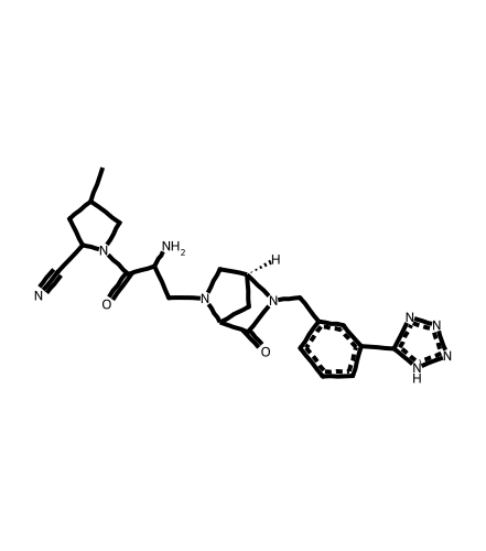 CC1CC(C#N)N(C(=O)C(N)CN2C[C@@H]3CC2C(=O)N3Cc2cccc(-c3nnn[nH]3)c2)C1